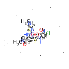 CN1CCc2nc(C(=O)N[C@@H]3C[C@@H](C(=O)N(C)C)CC[C@@H]3NC(=S)C(=O)Nc3ccc(Cl)c(N=O)c3)sc2C1